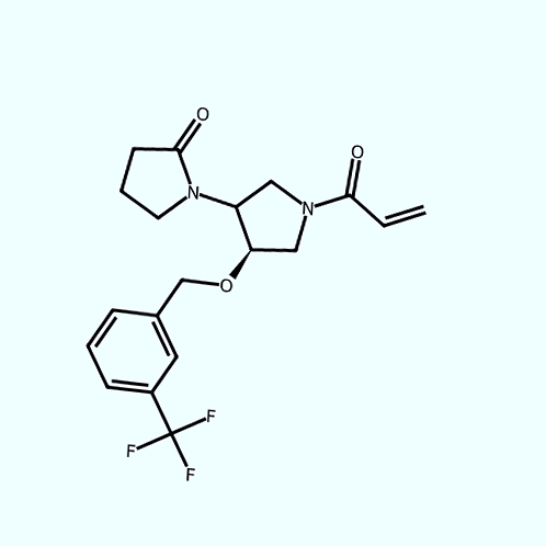 C=CC(=O)N1CC(N2CCCC2=O)[C@H](OCc2cccc(C(F)(F)F)c2)C1